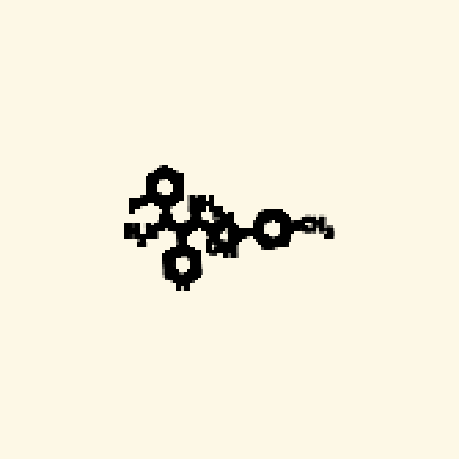 Cc1ccc(-c2noc(/C(N)=C(\c3ccncc3)N(N)c3ccccc3F)n2)cc1